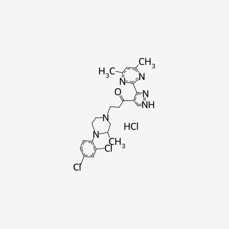 Cc1cc(C)nc(-c2n[nH]cc2C(=O)CCN2CCN(c3ccc(Cl)cc3Cl)C(C)C2)n1.Cl